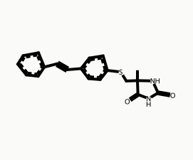 CC1(CSc2ccc(C#Cc3ccccc3)cc2)NC(=O)NC1=O